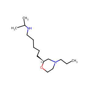 CCCN1CCO[C@@H](CCCCCNC(C)C)C1